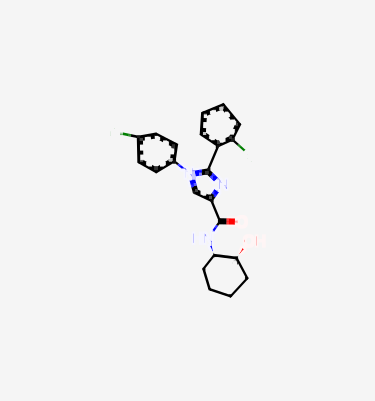 O=C(N[C@@H]1CCCC[C@@H]1O)c1cn(-c2ccc(Cl)cc2)c(-c2ccccc2Cl)n1